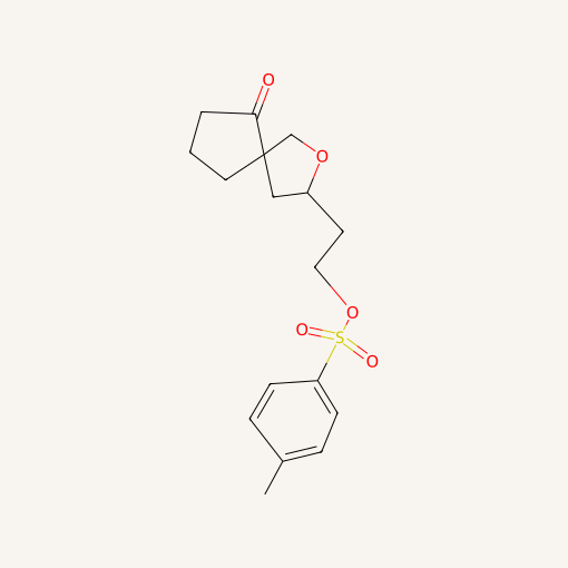 Cc1ccc(S(=O)(=O)OCCC2CC3(CCCC3=O)CO2)cc1